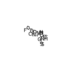 C=Nc1cc(OCC)c(NC(=O)C2CSSC2)cc1/C(Nc1ccc(OCc2cccc(F)c2)c(Cl)c1)=C(\C)C#N